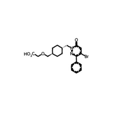 O=C(O)COC[C@H]1CC[C@H](Cn2nc(-c3ccccc3)c(Br)cc2=O)CC1